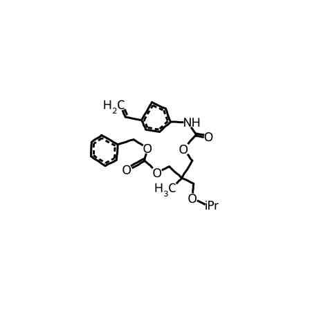 C=Cc1ccc(NC(=O)OCC(C)(COC(=O)OCc2ccccc2)COC(C)C)cc1